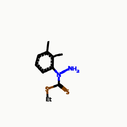 CCSC(=S)N(N)c1cccc(C)c1C